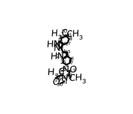 C[C@H](C(=O)N(C)C1C=Cc2cc(-c3n[nH]c4c3CCC(C)(C)C4)[nH]c2C1)N1CCOCC1